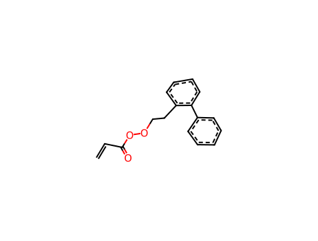 C=CC(=O)OOCCc1ccccc1-c1ccccc1